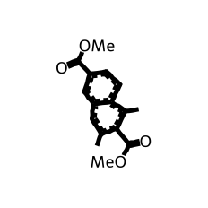 COC(=O)c1ccc2c(C)c(C(=O)OC)c(C)cc2c1